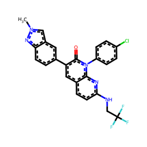 Cn1cc2cc(-c3cc4ccc(NCC(F)(F)F)nc4n(-c4ccc(Cl)cc4)c3=O)ccc2n1